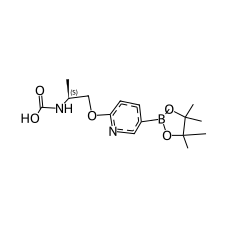 C[C@@H](COc1ccc(B2OC(C)(C)C(C)(C)O2)cn1)NC(=O)O